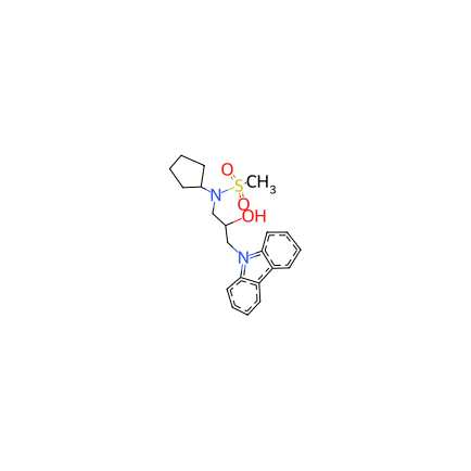 CS(=O)(=O)N(CC(O)Cn1c2ccccc2c2ccccc21)C1CCCC1